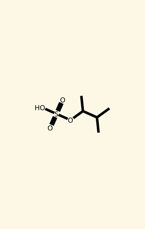 CC(C)C(C)OS(=O)(=O)O